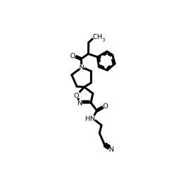 CCC(C(=O)N1CCC2(CC1)CC(C(=O)NCCC#N)=NO2)c1ccccc1